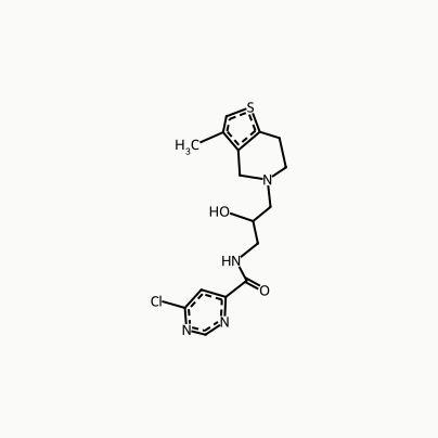 Cc1csc2c1CN(CC(O)CNC(=O)c1cc(Cl)ncn1)CC2